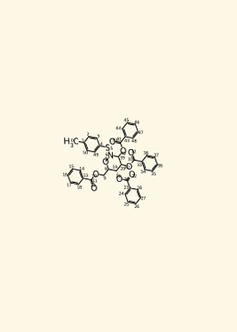 Cc1ccc(SN2OC(COC(=O)c3ccccc3)[C@@H](OC(=O)c3ccccc3)C(OC(=O)c3ccccc3)C2OC(=O)c2ccccc2)cc1